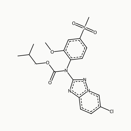 COc1cc(S(C)(=O)=O)ccc1N(C(=O)O[CH]C(C)C)c1nc2ccc(Cl)cn2n1